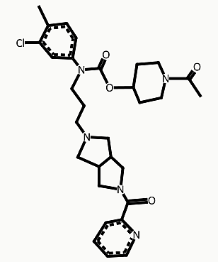 CC(=O)N1CCC(OC(=O)N(CCCN2CC3CN(C(=O)c4ccccn4)CC3C2)c2ccc(C)c(Cl)c2)CC1